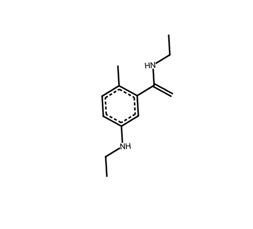 C=C(NCC)c1cc(NCC)ccc1C